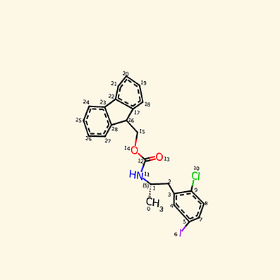 C[C@@H](Cc1cc(I)ccc1Cl)NC(=O)OCC1c2ccccc2-c2ccccc21